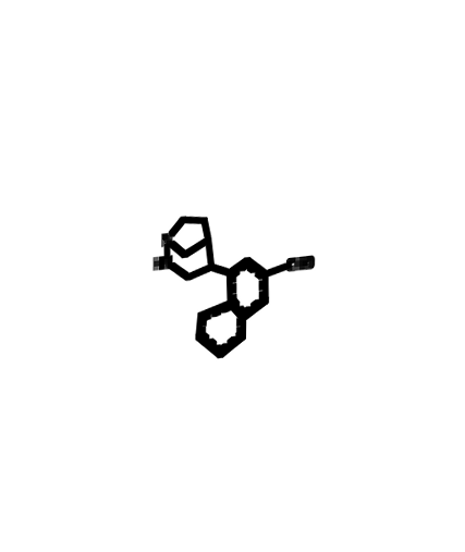 O=Cc1cc(C2CNN3CCC2C3)c2ccccc2c1